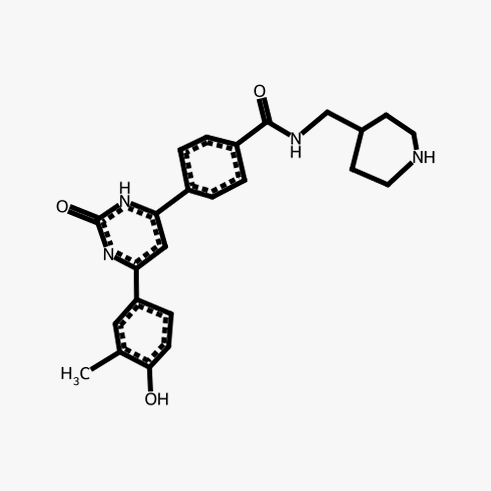 Cc1cc(-c2cc(-c3ccc(C(=O)NCC4CCNCC4)cc3)[nH]c(=O)n2)ccc1O